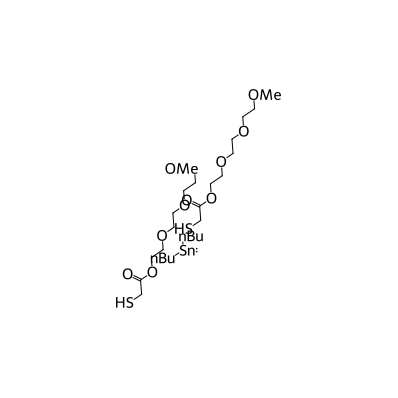 CCC[CH2][Sn][CH2]CCC.COCCOCCOCCOC(=O)CS.COCCOCCOCCOC(=O)CS